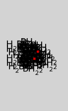 Bc1c(B)c(B)c2c(B)c(-c3c4c(B)c(B)c(B)c(B)c4c(-c4c(B)c(B)c5c(B)c(B)c(B)c(B)c5c4B)c4c(B)c(-c5c(B)c(B)c(B)c6c(B)c(B)c(B)c(B)c56)c(B)c(B)c34)c(B)c(B)c2c1B